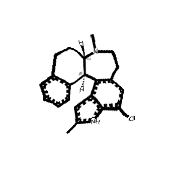 Cc1cc2c3c(cc(Cl)c2[nH]1)CCN(C)[C@H]1CCc2ccccc2[C@H]31